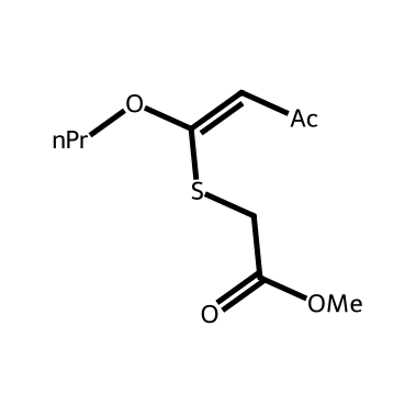 CCCOC(=CC(C)=O)SCC(=O)OC